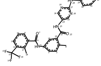 Cc1ccc(NC(=O)c2cccc(C(F)(F)F)c2C)cc1C(=O)Nc1cnc(Nc2ccccc2)nc1